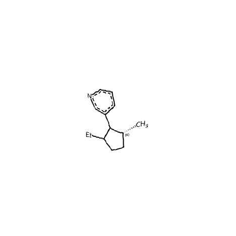 CCC1CC[C@@H](C)C1c1cccnc1